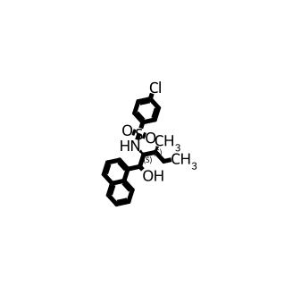 CC[C@H](C)[C@H](NS(=O)(=O)c1ccc(Cl)cc1)C(O)c1cccc2ccccc12